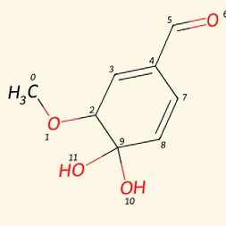 COC1C=C(C=O)C=CC1(O)O